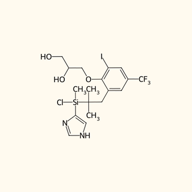 CC(C)(Cc1cc(C(F)(F)F)cc(I)c1OCC(O)CO)[Si](C)(Cl)c1c[nH]cn1